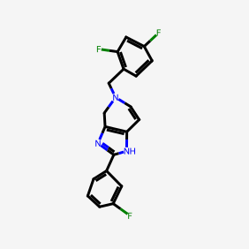 Fc1cccc(-c2nc3c([nH]2)C=CN(Cc2ccc(F)cc2F)C3)c1